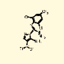 CC[S+]([O-])c1cnn(C(=Nc2c(Cl)cc(C(F)(F)F)cc2Cl)NN)c1N